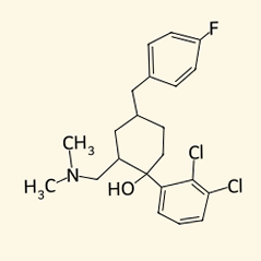 CN(C)CC1CC(Cc2ccc(F)cc2)CCC1(O)c1cccc(Cl)c1Cl